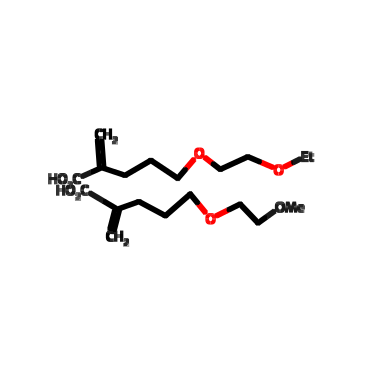 C=C(CCCOCCOC)C(=O)O.C=C(CCCOCCOCC)C(=O)O